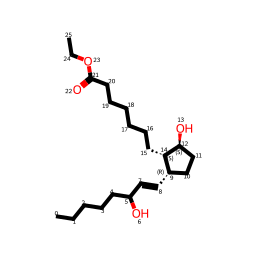 CCCCCC(O)C=C[C@H]1CC[C@H](O)[C@H]1CCCCCCC(=O)OCC